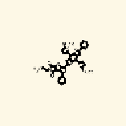 C=CCN1C(=O)c2sc3c(-c4cc5c(-c6ccc(CCCCCC)s6)c6sc(-c7ccccc7)cc6c(-c6ccc(CCCCCCCC)s6)c5s4)sc(-c4ccccc4)c3c2C1=O